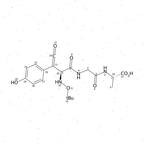 C[C@H](NC(=O)CNC(=O)[C@@H](NOC(C)(C)C)C(=C=O)c1ccc(O)cc1)C(=O)O